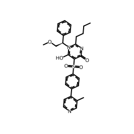 CCCCc1nc(=O)c(S(=O)(=O)c2ccc(-c3ccncc3C)cc2)c(O)n1[C@@H](COC)c1ccccc1